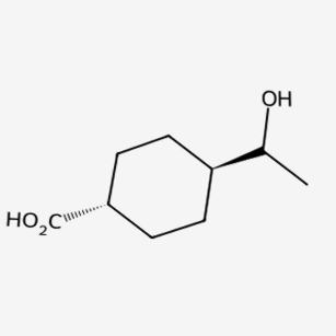 CC(O)[C@H]1CC[C@H](C(=O)O)CC1